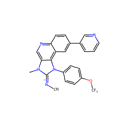 Cn1/c(=N/C#N)n(-c2ccc(OC(F)(F)F)cc2)c2c3cc(-c4cccnc4)ccc3ncc21